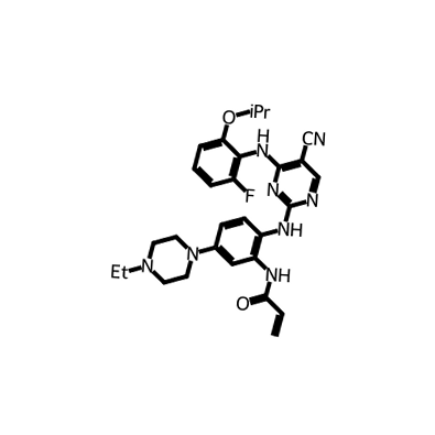 C=CC(=O)Nc1cc(N2CCN(CC)CC2)ccc1Nc1ncc(C#N)c(Nc2c(F)cccc2OC(C)C)n1